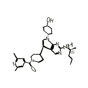 CCC[C@H](C)Nc1ncc2c(C3CCN(C(=O)c4cc(C)nc(C)c4)CC3)cn([C@H]3CC[C@H](O)CC3)c2n1